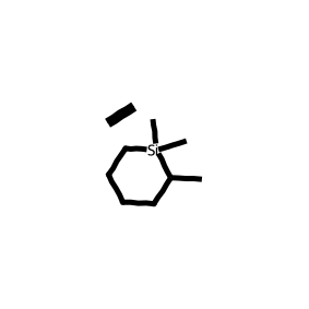 C=C.CC1CCCC[Si]1(C)C